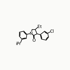 CCC1CN(c2cccc(C(C)C)c2)C(=O)C1c1cccc(Cl)c1